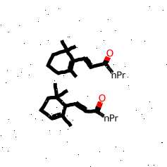 CCCC(=O)C=CC1=C(C)CCCC1(C)C.CCCC(=O)C=CC1C(C)=CCCC1(C)C